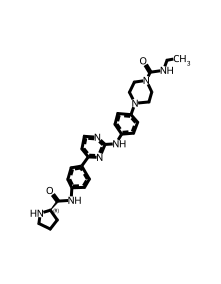 CCNC(=O)N1CCN(c2ccc(Nc3nccc(-c4ccc(NC(=O)[C@H]5CCCN5)cc4)n3)cc2)CC1